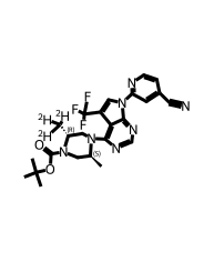 [2H]C([2H])([2H])[C@@H]1CN(c2ncnc3c2c(C(F)(F)F)cn3-c2cc(C#N)ccn2)[C@@H](C)CN1C(=O)OC(C)(C)C